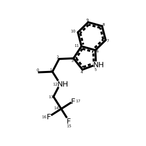 CC(Cc1c[nH]c2ccccc12)NCC(F)(F)F